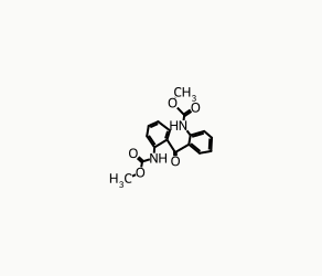 COC(=O)Nc1ccccc1C(=O)c1ccccc1NC(=O)OC